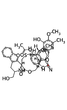 COc1c(C)cc2c(c1O)[C@H]1[C@@H]3[C@@H]4SC[C@]5(NC(CO)Cc6c5oc5ccccc65)C(=O)OC[C@@H](c5c6c(c(C)c(OC(C)=O)c54)OCO6)N3C(C#N)(C2)CN1C